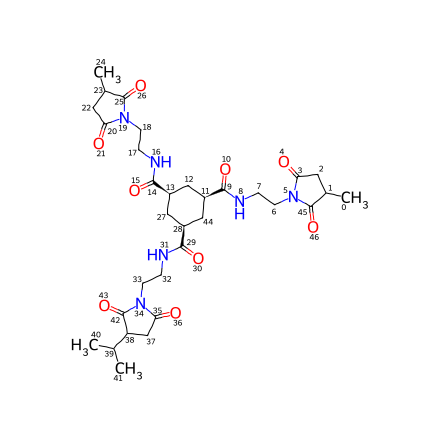 CC1CC(=O)N(CCNC(=O)[C@@H]2C[C@H](C(=O)NCCN3C(=O)CC(C)C3=O)C[C@H](C(=O)NCCN3C(=O)CC(C(C)C)C3=O)C2)C1=O